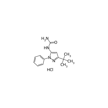 CC(C)(C)c1cc(NC(N)=O)n(-c2ccccc2)n1.Cl